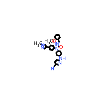 COc1ccccc1CNC(=O)N(c1ccc(-c2cnn(C)c2)cc1)C1CCC(Nc2ccc(C#N)cn2)CC1